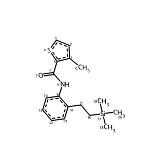 Cc1ccsc1C(=O)Nc1ccccc1CC[Si](C)(C)C